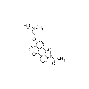 CC(=O)Nc1cccc2c1C(=O)c1ccc(OCCN(C)C)c(N)c1C2=O